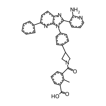 Cc1c(C(=O)O)cccc1C(=O)N1CC(c2ccc(-n3c(-c4cccnc4N)nc4ccc(-c5ccccc5)nc43)cc2)C1